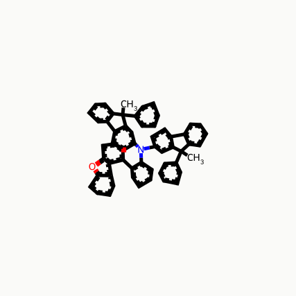 CC1(c2ccccc2)c2ccccc2-c2ccc(N(c3ccc4c(c3)C(C)(c3ccccc3)c3ccccc3-4)c3ccccc3-c3cccc4oc5ccccc5c34)cc21